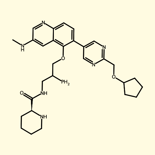 CNc1cnc2ccc(-c3cnc(COC4CCCC4)nc3)c(OCC(P)CNC(=O)[C@@H]3CCCCN3)c2c1